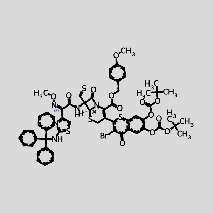 CO/N=C(\C(=O)NC1(C=S)C(=O)N2C(C(=O)OCc3ccc(OC)cc3)=C(c3sc4cc(OC(=O)OC(C)(C)C)c(OC(=O)OC(C)(C)C)cc4c(=O)c3Br)CS[C@H]21)c1csc(NC(c2ccccc2)(c2ccccc2)c2ccccc2)n1